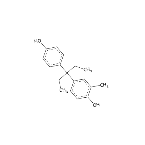 CCC(CC)(c1ccc(O)cc1)c1ccc(O)c(C)c1